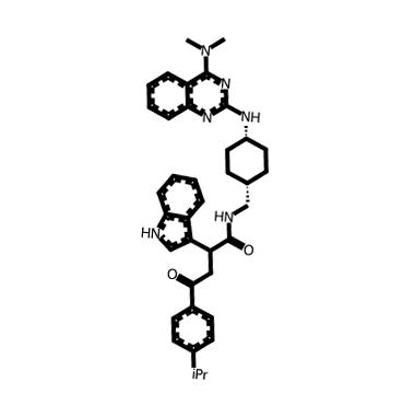 CC(C)c1ccc(C(=O)CC(C(=O)NC[C@H]2CC[C@@H](Nc3nc(N(C)C)c4ccccc4n3)CC2)c2c[nH]c3ccccc23)cc1